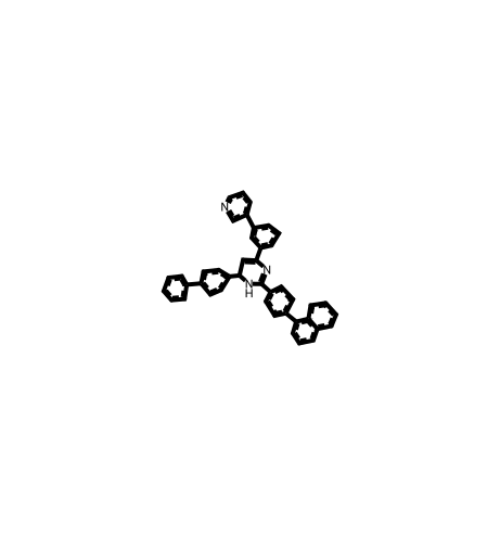 C1=C(c2cccc(-c3cccnc3)c2)N=C(c2ccc(-c3cccc4ccccc34)cc2)NC1c1ccc(-c2ccccc2)cc1